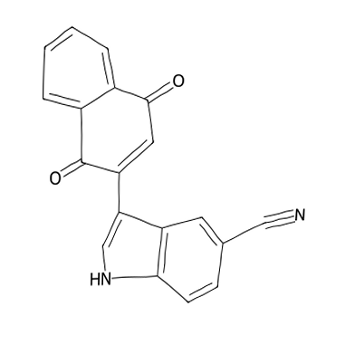 N#Cc1ccc2[nH]cc(C3=CC(=O)c4ccccc4C3=O)c2c1